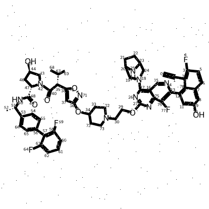 C#Cc1c(F)ccc2cc(O)cc(-c3ncc4c(N5CC6CCC(C5)N6)nc(OCCN5CCC(Oc6cc([C@H](C(=O)N7C[C@H](O)C[C@H]7C(=O)N[C@@H](C)c7ccc(-c8c(F)cccc8F)cc7)C(C)C)on6)CC5)nc4c3F)c12